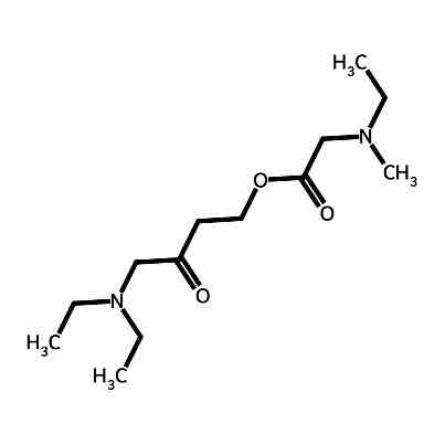 CCN(C)CC(=O)OCCC(=O)CN(CC)CC